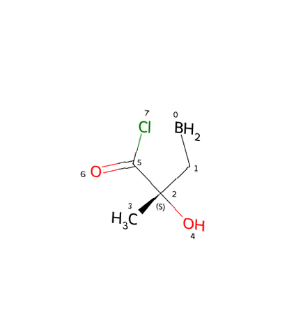 BC[C@](C)(O)C(=O)Cl